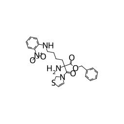 NC(CCCCNc1ccccc1[N+](=O)[O-])(C(=O)OCc1ccccc1)C(=O)N1C=CSC1